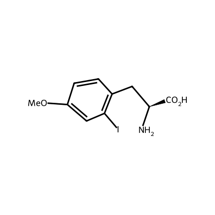 COc1ccc(C[C@H](N)C(=O)O)c(I)c1